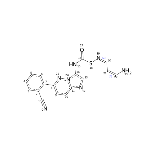 N#Cc1ccccc1-c1ccc2ncc(NC(=O)S/N=C\C=C/N)n2n1